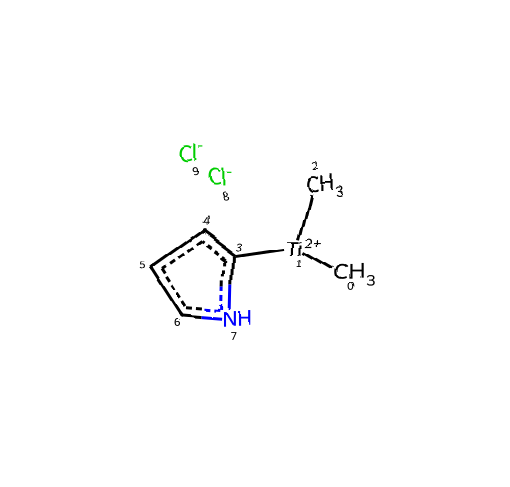 [CH3][Ti+2]([CH3])[c]1ccc[nH]1.[Cl-].[Cl-]